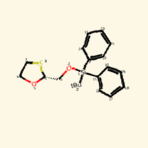 CC(C)(C)[Si](OC[C@@H]1OCCS1)(c1ccccc1)c1ccccc1